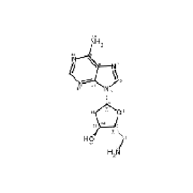 NC[C@H]1O[C@@H](n2cnc3c(N)ncnc32)C[C@@H]1O